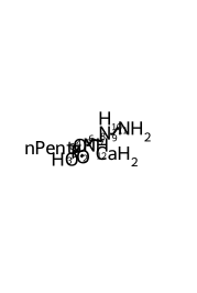 CCCCCP(=O)(O)ONCCNCCN.[CaH2]